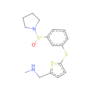 CNCc1ccc(Sc2cccc([S+]([O-])N3CCCC3)c2)s1